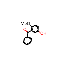 COc1ccc(O)cc1C(=O)c1ccccc1